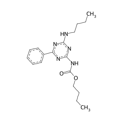 CCCCNc1nc(NC(=O)OCCCC)nc(-c2ccccc2)n1